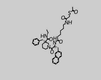 CCNC(=O)[C@]1(Cc2ccccc2)CCCN(C(=O)[C@@H](Cc2ccc3ccccc3c2)NC(=O)CCCCCNC(=O)CSC(C)=O)C1